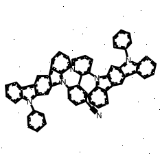 N#Cc1ccc(-n2c3ccccc3c3cc4c5ccccc5n(-c5ccccc5)c4cc32)c(-c2ncccc2-n2c3ccccc3c3cc4c5ccccc5n(-c5ccccc5)c4cc32)c1